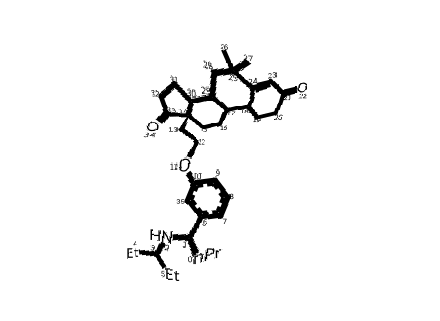 CCCC(NC(CC)CC)c1cccc(OCC[C@]23CCC4C5CCC(=O)C=C5C(C)(C)CC4C2CCC3=O)c1